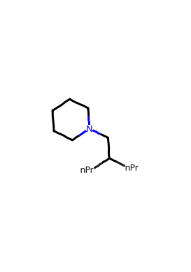 CCCC(CCC)CN1CCCCC1